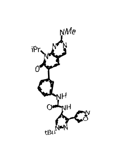 CNc1ncc2cc(-c3cccc(NC(=O)Nc4cn(C(C)(C)C)nc4-c4cnoc4)c3)c(=O)n(C(C)C)c2n1